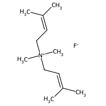 CC(C)=CC[N+](C)(C)CC=C(C)C.[F-]